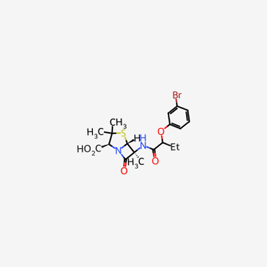 CCC(Oc1cccc(Br)c1)C(=O)N[C@@]1(C)C(=O)N2[C@@H](C(=O)O)C(C)(C)S[C@@H]21